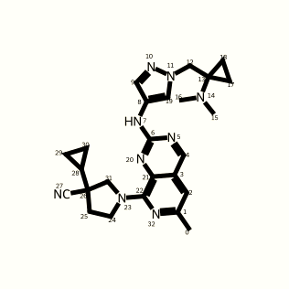 Cc1cc2cnc(Nc3cnn(CC4(N(C)C)CC4)c3)nc2c(N2CCC(C#N)(C3CC3)C2)n1